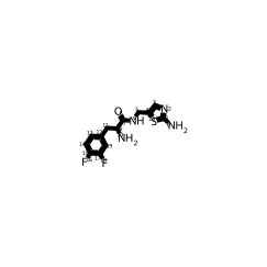 Nc1ncc(CNC(=O)C(N)Cc2ccc(F)c(F)c2)s1